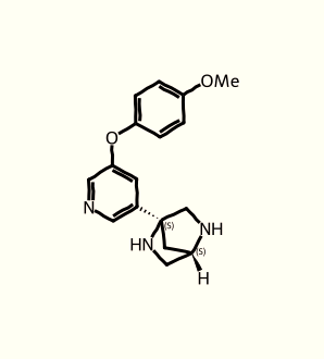 COc1ccc(Oc2cncc([C@@]34CN[C@H](CN3)C4)c2)cc1